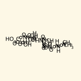 C#CCNC(=O)C(CCCCNC(=O)C(O)C(O)C(=O)NCNC(=O)c1ccc(C(=O)O)c(-c2c3ccc(=O)cc-3oc3cc(O)ccc23)c1)NC(=O)CCSP(=O)(O)OCCNC(=O)c1ccc(NNc2ccc(N(C)C)cc2)cc1